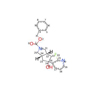 O=C(OCc1ccccc1)N1C[C@@H]2CC(O)(c3cccnc3F)C[C@@H]2C1